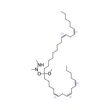 CCCC/C=C\C/C=C\C/C=C\CCCCC(CCCCCCCC/C=C\C/C=C\CCCCC)(OC)ON(C)NC